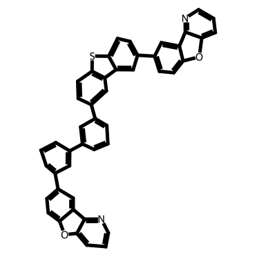 c1cc(-c2cccc(-c3ccc4oc5cccnc5c4c3)c2)cc(-c2ccc3sc4ccc(-c5ccc6oc7cccnc7c6c5)cc4c3c2)c1